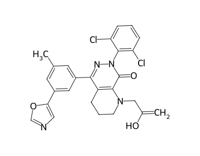 C=C(O)CN1CCCc2c(-c3cc(C)cc(-c4cnco4)c3)nn(-c3c(Cl)cccc3Cl)c(=O)c21